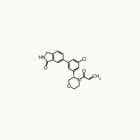 C=CC(=O)N1CCOC[C@H]1c1cc(Cl)cc(-c2ccc3c(c2)C(=O)NC3)c1